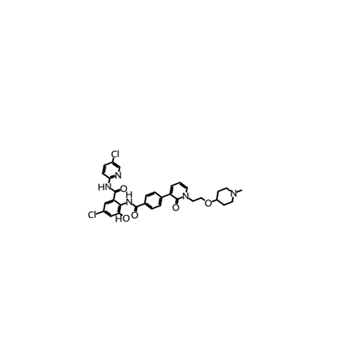 CN1CCC(OCCn2cccc(-c3ccc(C(=O)Nc4c(O)cc(Cl)cc4C(=O)Nc4ccc(Cl)cn4)cc3)c2=O)CC1